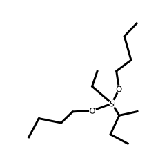 CCCCO[Si](CC)(OCCCC)C(C)CC